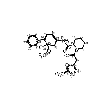 Cc1nnc(CC(=O)N2CCCC[C@@H]2C(=O)NC2=CC=C(c3ccccc3)C(Cl)(OC(F)(F)F)C2)o1